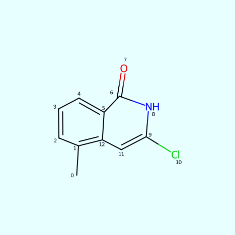 Cc1cccc2c(=O)[nH]c(Cl)cc12